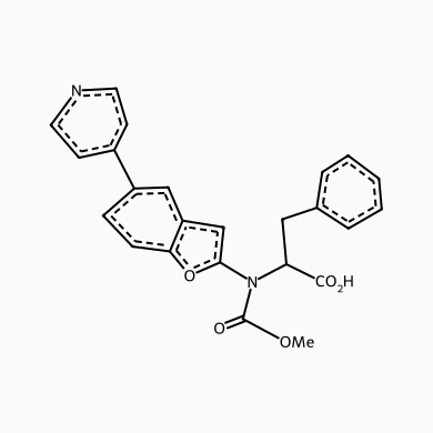 COC(=O)N(c1cc2cc(-c3ccncc3)ccc2o1)C(Cc1ccccc1)C(=O)O